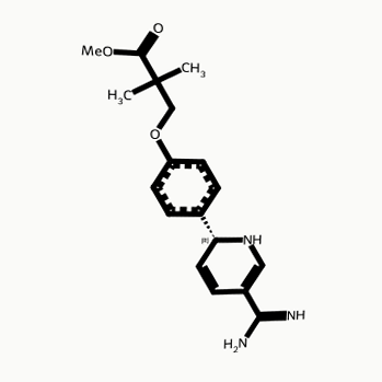 COC(=O)C(C)(C)COc1ccc([C@H]2C=CC(C(=N)N)=CN2)cc1